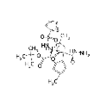 CCC[C@](C(=O)NN)(c1ccc(C)cc1[C@H](CNS(=O)(=O)c1cccs1)C(=O)OC(C)(C)C)S(C)(=O)=O